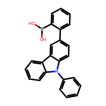 OB(O)c1ccccc1-c1ccc2c(c1)c1ccccc1n2-c1ccccc1